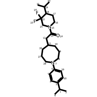 CC(C)c1ccc(N2CCCC(CC(=O)N3CCC(C(C)C)C(F)(F)C3)CCC2)cc1